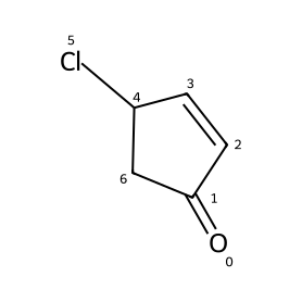 O=C1C=CC(Cl)C1